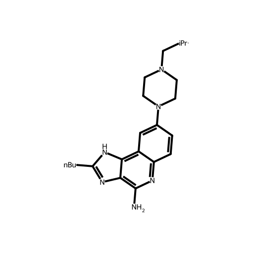 CCCCc1nc2c(N)nc3ccc(N4CCN(C[C](C)C)CC4)cc3c2[nH]1